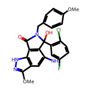 COc1ccc(CN2C(=O)c3c(c(N)cc4c(OC)n[nH]c34)C2(O)c2cc(F)ccc2Cl)cc1